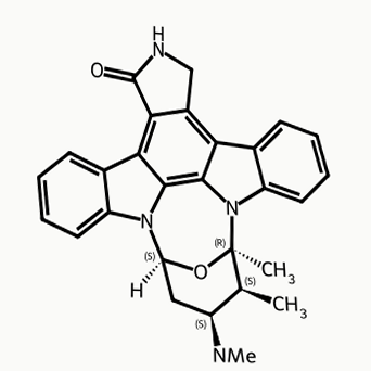 CN[C@H]1C[C@@H]2O[C@](C)([C@H]1C)n1c3ccccc3c3c4c(c5c6ccccc6n2c5c31)C(=O)NC4